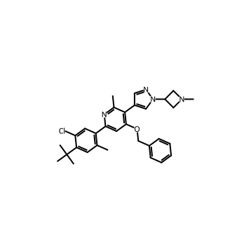 Cc1cc(C(C)(C)C)c(Cl)cc1-c1cc(OCc2ccccc2)c(-c2cnn(C3CN(C)C3)c2)c(C)n1